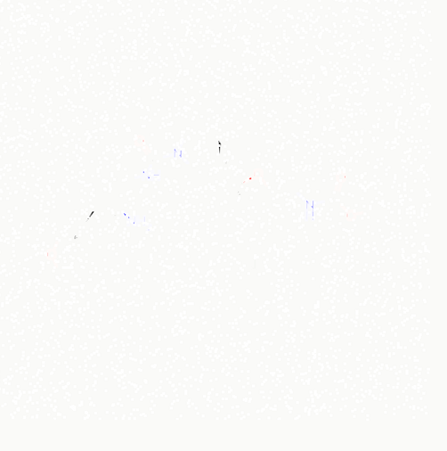 COC(=O)NCCO[C@@H](c1cccc(Cl)c1)[C@@H]1CCCN(C(=O)NC[C@@H](N)C[C@H]2CCCCOC2)C1